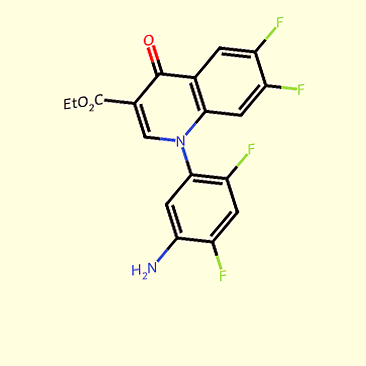 CCOC(=O)c1cn(-c2cc(N)c(F)cc2F)c2cc(F)c(F)cc2c1=O